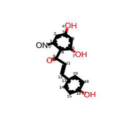 O=Nc1cc(O)cc(O)c1C(=O)/C=C/c1ccc(O)cc1